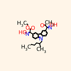 CCCCC(CC)Cn1c2ccc(/C(=N/O)C(C)=O)cc2c2cc(/C(=N/O)C(=O)OCC)ccc21